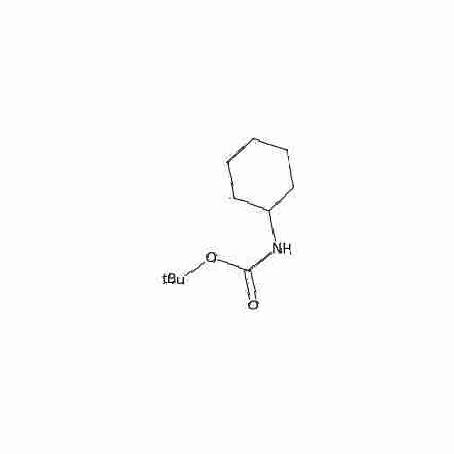 CC(C)(C)OC(=O)NC1[CH]CCCC1